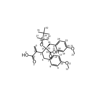 C=C(C(=O)O)C(Cc1ccc(OC)cc1)[C@](Cc1ccc(OC)cc1)(O[Si](C)(C)C(C)(C)C)C(=O)O